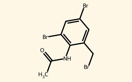 CC(=O)Nc1c(Br)cc(Br)cc1CBr